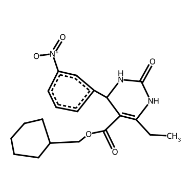 CCC1=C(C(=O)OCC2CCCCC2)C(c2cccc([N+](=O)[O-])c2)NC(=O)N1